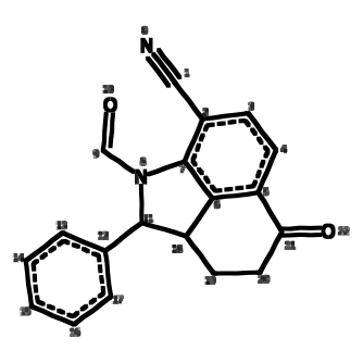 N#Cc1ccc2c3c1N(C=O)C(c1ccccc1)C3CCC2=O